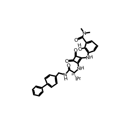 CC(C)[C@@H](Nc1c(Nc2cccc(C(=O)N(C)C)c2O)c(=O)c1=O)C(=O)NCc1ccc(-c2ccccc2)cc1